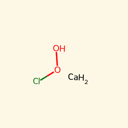 OOCl.[CaH2]